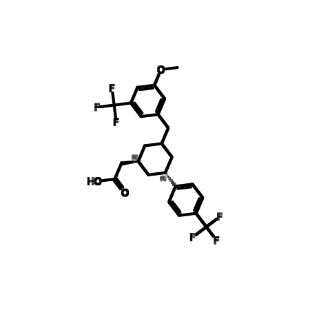 COc1cc(CC2C[C@H](CC(=O)O)C[C@@H](c3ccc(C(F)(F)F)cc3)C2)cc(C(F)(F)F)c1